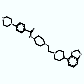 O=C(N[C@H]1CC[C@H](CCN2CCC(c3cccc4c3OCO4)CC2)CC1)c1ccc(N2CCOCC2)cc1